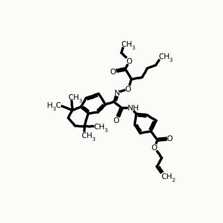 C=CCOC(=O)c1ccc(NC(=O)C(=NOC(CCCC)C(=O)OCC)c2ccc3c(c2)C(C)(C)CCC3(C)C)cc1